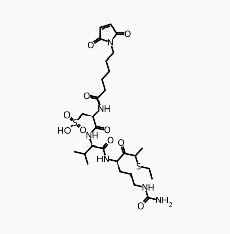 CCSC(C)C(=O)[C@@H](CCCNC(N)=O)NC(=O)[C@H](NC(=O)[C@@H](CS(=O)(=O)O)NC(=O)CCCCCN1C(=O)C=CC1=O)C(C)C